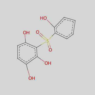 O=S(=O)(c1ccccc1O)c1c(O)ccc(O)c1O